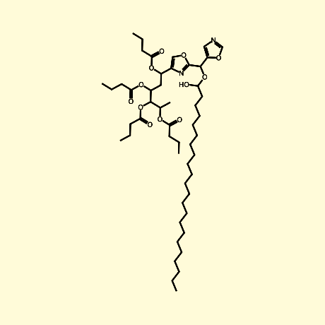 CCCCCCCCCCCCCCCCCCCCCC(O)OC(c1cnco1)c1nc(C(CC(OC(=O)CCC)C(OC(=O)CCC)C(C)OC(=O)CCC)OC(=O)CCC)co1